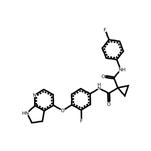 O=C(Nc1ccc(F)cc1)C1(C(=O)Nc2ccc(Oc3ccnc4c3CCN4)c(F)c2)CC1